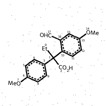 CCC(C(=O)O)(c1ccc(OC)cc1)c1ccc(OC)cc1C=O